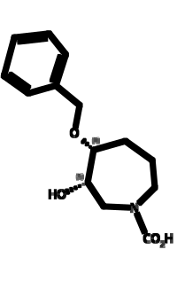 O=C(O)N1CCC[C@@H](OCc2ccccc2)[C@@H](O)C1